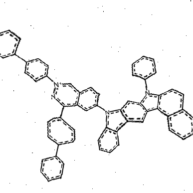 c1ccc(-c2ccc(-c3n[n+](-c4ccc(-c5ccccc5)cc4)cc4ccc(-n5c6ccccc6c6cc7c8c9ccccc9ccc8n(-c8ccccc8)c7cc65)cc34)cc2)cc1